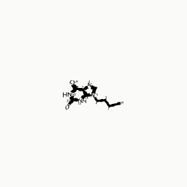 CCCCn1cnc2c(=O)[nH]c(=O)[nH]c21